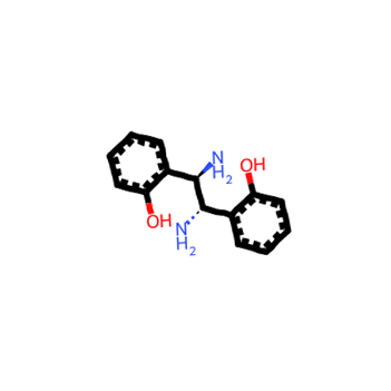 N[C@H](c1ccccc1O)[C@@H](N)c1ccccc1O